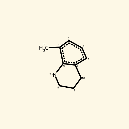 Cc1cccc2c1[N]CCC2